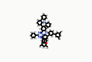 Cc1cc(C)cc(-c2ccc3c(c2)c2cc(-c4cc(C)cc(C)c4)ccc2n3-c2ccc(-c3cccc4c5ccccc5n(-c5ccccc5)c34)cc2-c2nc(-c3ccccc3)nc(-c3ccccc3)n2)c1